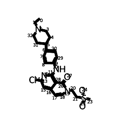 CCN1CCC(c2ccc(Nc3nc(Cl)cc4ccn(CCS(C)(=O)=O)c(=O)c34)cc2)CC1